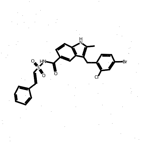 Cc1[nH]c2ccc(C(=O)NS(=O)(=O)C=Cc3ccccc3)cc2c1Cc1ccc(Br)cc1Cl